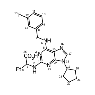 CCC(Nc1nc(NCc2cccc(F)c2)c2ncn(C3CCCC3)c2n1)C(=O)O